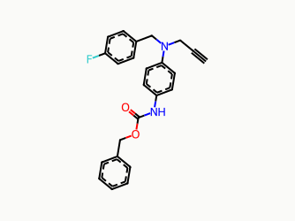 C#CCN(Cc1ccc(F)cc1)c1ccc(NC(=O)OCc2ccccc2)cc1